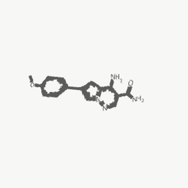 COc1ccc(-c2cc3c(N)c(C(N)=O)cnn3c2)cc1